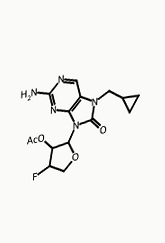 CC(=O)OC1C(F)COC1n1c(=O)n(CC2CC2)c2cnc(N)nc21